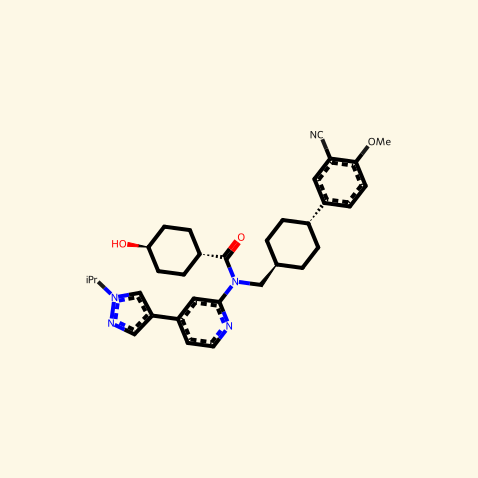 COc1ccc([C@H]2CC[C@H](CN(c3cc(-c4cnn(C(C)C)c4)ccn3)C(=O)[C@H]3CC[C@H](O)CC3)CC2)cc1C#N